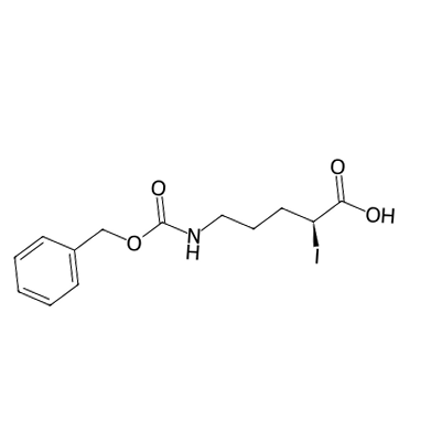 O=C(NCCC[C@H](I)C(=O)O)OCc1ccccc1